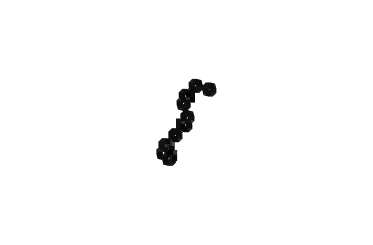 c1ccc(-c2cccc(-c3ccc4ccc(-c5ccc6ccc(-c7ccc(-c8ccc9ccc%10cccnc%10c9n8)cc7)nc6c5)cc4n3)c2)cc1